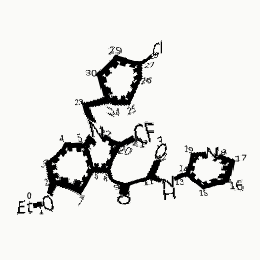 CCOc1ccc2c(c1)c(C(=O)C(=O)Nc1cccnc1)c(C(F)(F)F)n2Cc1ccc(Cl)cc1